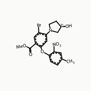 COC(=O)c1cc(Br)c(N2CC[C@@H](O)C2)cc1Oc1ccc(C)cc1[N+](=O)[O-]